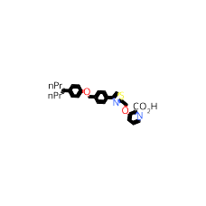 CCCC(CCC)c1ccc(OCc2ccc(-c3csc(COc4cccnc4C(=O)O)n3)cc2)cc1